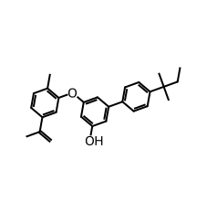 C=C(C)c1ccc(C)c(Oc2cc(O)cc(-c3ccc(C(C)(C)CC)cc3)c2)c1